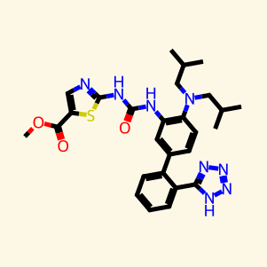 COC(=O)c1cnc(NC(=O)Nc2cc(-c3ccccc3-c3nnn[nH]3)ccc2N(CC(C)C)CC(C)C)s1